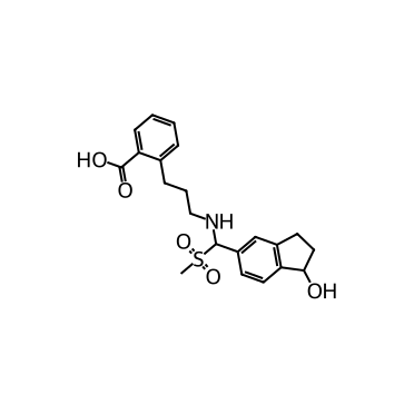 CS(=O)(=O)C(NCCCc1ccccc1C(=O)O)c1ccc2c(c1)CCC2O